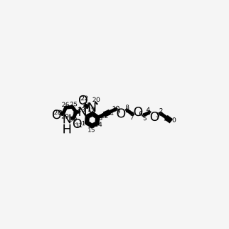 C#CCOCCOCCOCC#Cc1cccc2c1n(C)c(=O)n2C1CCC(=O)NC1=O